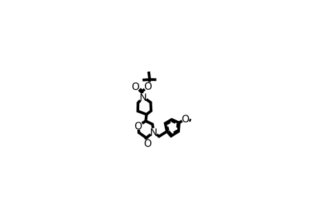 COc1ccc(CN2CC(C3CCN(C(=O)OC(C)(C)C)CC3)OCC2=O)cc1